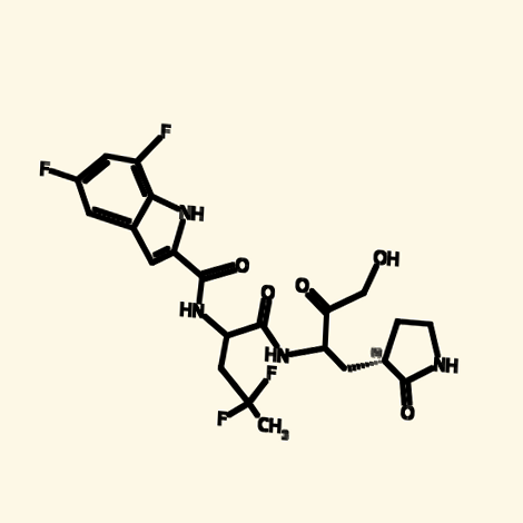 CC(F)(F)CC(NC(=O)c1cc2cc(F)cc(F)c2[nH]1)C(=O)NC(C[C@@H]1CCNC1=O)C(=O)CO